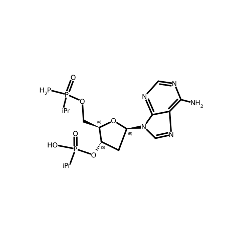 CC(C)P(=O)(O)O[C@H]1C[C@H](n2cnc3c(N)ncnc32)O[C@@H]1COP(=O)(P)C(C)C